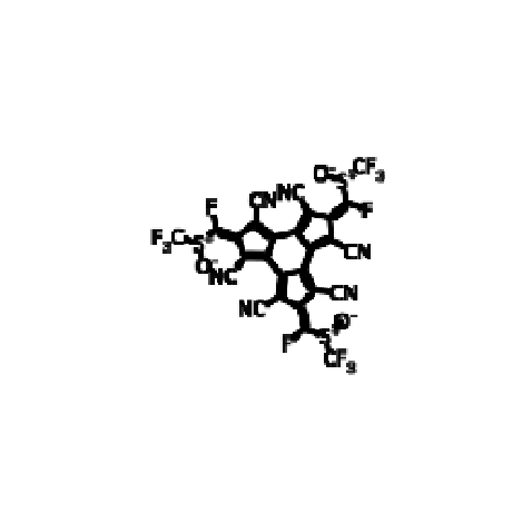 N#CC1=c2c3c(c4c(c2=C(C#N)C1=C(F)[S+]([O-])C(F)(F)F)=C(C#N)C(=C(F)[S+]([O-])C(F)(F)F)C=4C#N)=C(C#N)C(=C(F)[S+]([O-])C(F)(F)F)C=3C#N